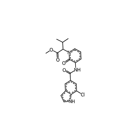 COC(=O)C(C(C)C)n1cccc(NC(=O)c2cc(Cl)c3[nH]ccc3c2)c1=O